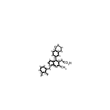 Cc1nc2c(ccn2Cc2cccc(F)c2F)c(-c2ccc3c(c2)CCCO3)c1CC(=O)O